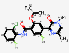 CCCn1cc(C)nc(-c2cc(O[C@@H](C)C(F)(F)F)c(C(=O)NC3=C(Cl)CCC=C3F)cc2F)c1=O